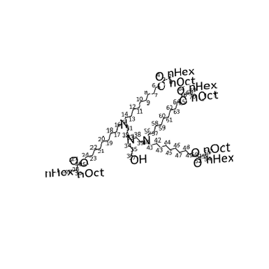 CCCCCCCCC(CCCCCC)C(=O)OCCCCCCCCCN(CCCCCCCCCOC(=O)C(CCCCCC)CCCCCCCC)CCN(CCCO)CCN(CCCCCCCCCOC(=O)C(CCCCCC)CCCCCCCC)CCCCCCCCCOC(=O)C(CCCCCC)CCCCCCCC